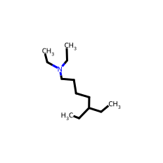 CCC(CC)CCCCN(CC)CC